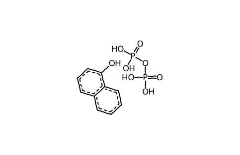 O=P(O)(O)OP(=O)(O)O.Oc1cccc2ccccc12